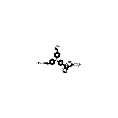 CCCCC/C=C/c1ccc(N(c2ccc(/C=C/CCCCC)cc2)c2ccc(-c3sc(/C=C(\C#N)C(=O)O)c4c3OCCO4)cc2)cc1